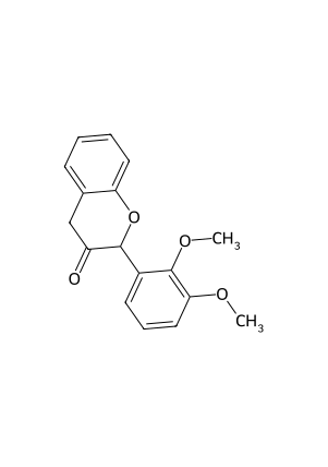 COc1cccc(C2Oc3ccccc3CC2=O)c1OC